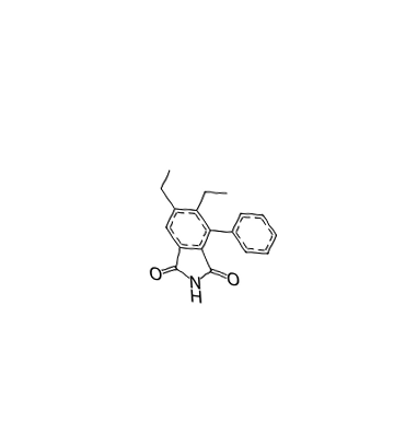 CCc1cc2c(c(-c3ccccc3)c1CC)C(=O)NC2=O